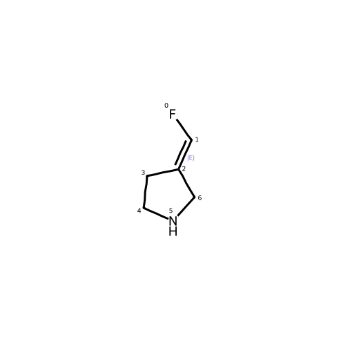 F/C=C1\CCNC1